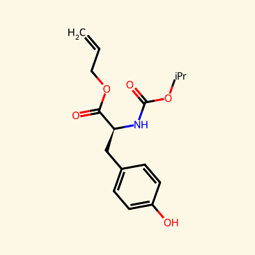 C=CCOC(=O)[C@H](Cc1ccc(O)cc1)NC(=O)OC(C)C